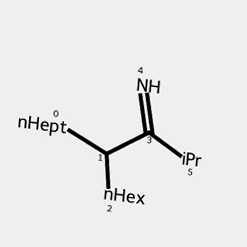 CCCCCCCC(CCCCCC)C(=N)C(C)C